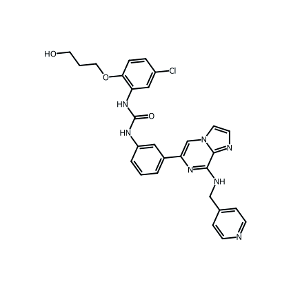 O=C(Nc1cccc(-c2cn3ccnc3c(NCc3ccncc3)n2)c1)Nc1cc(Cl)ccc1OCCCO